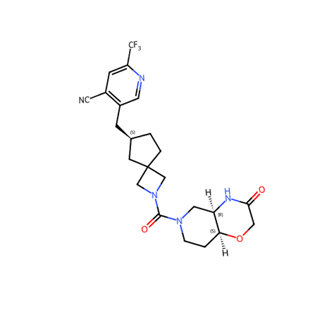 N#Cc1cc(C(F)(F)F)ncc1C[C@H]1CCC2(C1)CN(C(=O)N1CC[C@@H]3OCC(=O)N[C@@H]3C1)C2